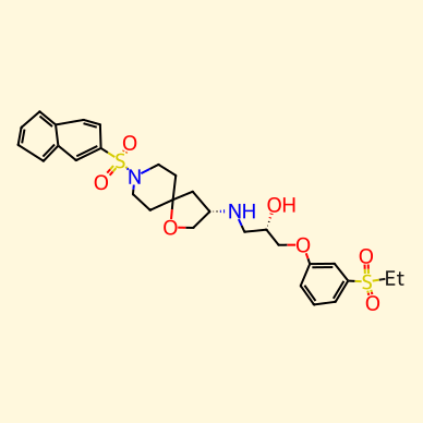 CCS(=O)(=O)c1cccc(OC[C@@H](O)CN[C@@H]2COC3(CCN(S(=O)(=O)c4ccc5ccccc5c4)CC3)C2)c1